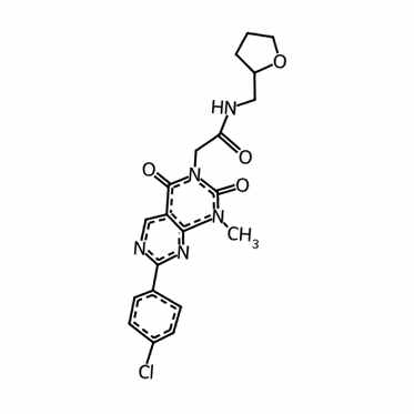 Cn1c(=O)n(CC(=O)NCC2CCCO2)c(=O)c2cnc(-c3ccc(Cl)cc3)nc21